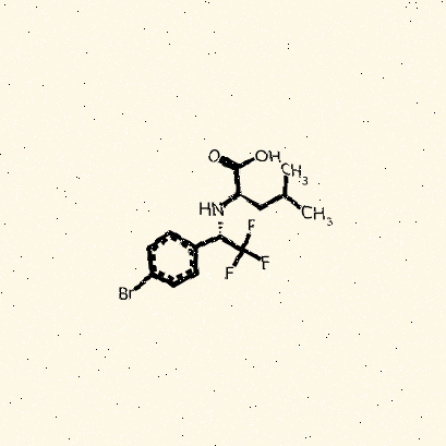 CC(C)C[C@@H](N[C@@H](c1ccc(Br)cc1)C(F)(F)F)C(=O)O